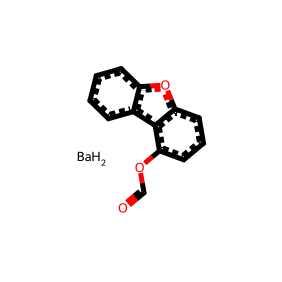 O=COc1cccc2oc3ccccc3c12.[BaH2]